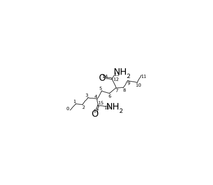 CCCCC(CCC(CCCC)C(N)=O)C(N)=O